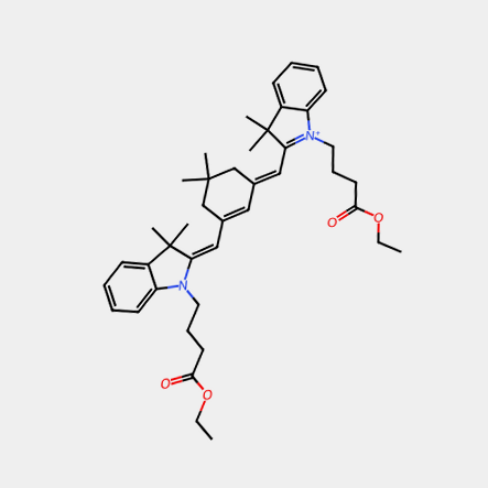 CCOC(=O)CCCN1/C(=C/C2=CC(=C/C3=[N+](CCCC(=O)OCC)c4ccccc4C3(C)C)/CC(C)(C)C2)C(C)(C)c2ccccc21